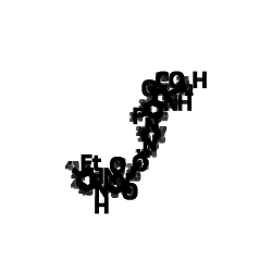 CCc1cc(Nc2cc(=O)n(CCOCCN3CCN(c4cc5[nH]c(C6CC6)c(C(=O)O)c(=O)c5cc4F)CC3)c(=O)[nH]2)ccc1C